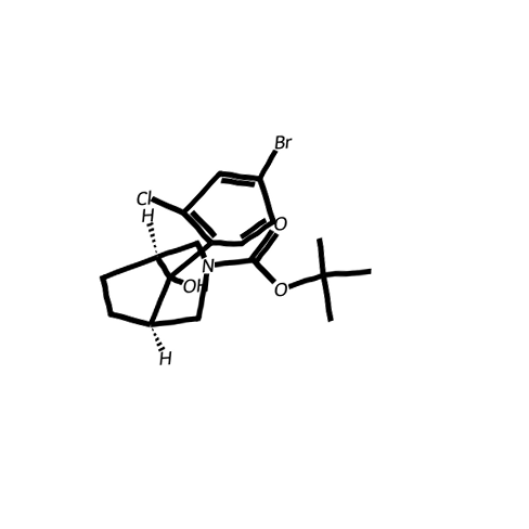 CC(C)(C)OC(=O)N1C[C@H]2CC[C@@H](C1)C2(O)c1ccc(Br)cc1Cl